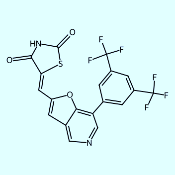 O=C1NC(=O)C(=Cc2cc3cncc(-c4cc(C(F)(F)F)cc(C(F)(F)F)c4)c3o2)S1